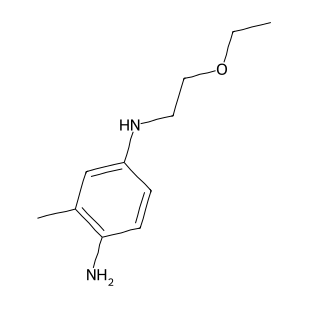 CCOCCNc1ccc(N)c(C)c1